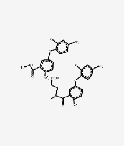 CCNC(=O)c1cc(Oc2ccc(C(F)(F)F)cc2Cl)ccc1[N+](=O)[O-].CCOC(=O)CCN(C)C(=O)c1cc(Oc2ccc(C(F)(F)F)cc2F)ccc1[N+](=O)[O-]